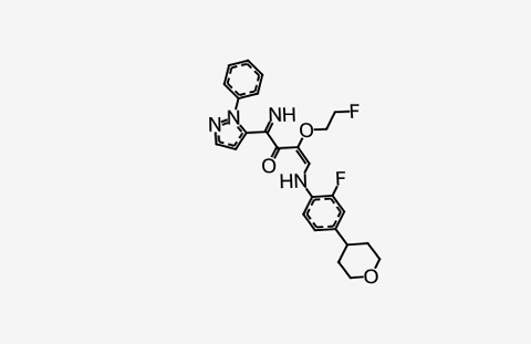 N=C(C(=O)/C(=C\Nc1ccc(C2CCOCC2)cc1F)OCCF)c1ccnn1-c1ccccc1